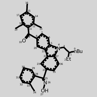 CCCCC(CC)Cn1c2ccc(C(=O)c3c(C)cc(C)cc3C)cc2c2cc(/C(=N/O)c3ccccc3C)ccc21